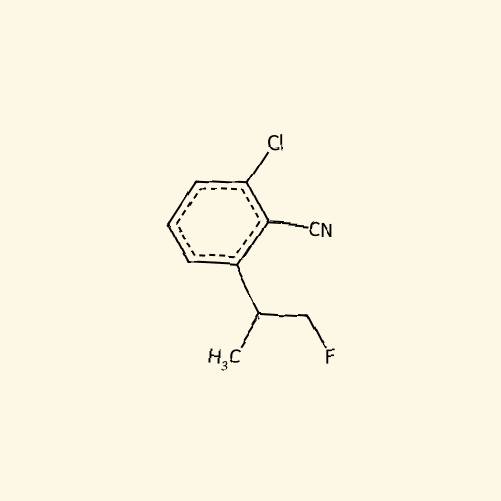 C[C](CF)c1cccc(Cl)c1C#N